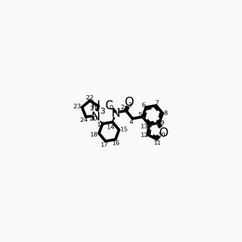 CN(C(=O)Cc1cccc2occc12)[C@H]1CCCC[C@@H]1N1CCCC1